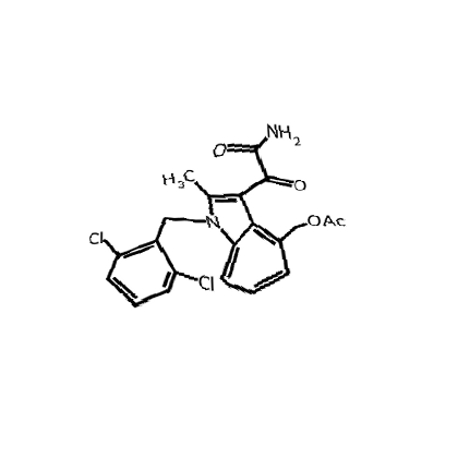 CC(=O)Oc1cccc2c1c(C(=O)C(N)=O)c(C)n2Cc1c(Cl)cccc1Cl